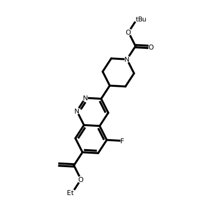 C=C(OCC)c1cc(F)c2cc(C3CCN(C(=O)OC(C)(C)C)CC3)nnc2c1